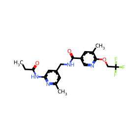 CCC(=O)Nc1cc(CNC(=O)c2cnc(OCC(F)(F)F)c(C)c2)cc(C)n1